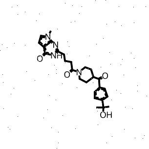 Cn1ccc2c(=O)[nH]c(CCCC(=O)N3CCC(C(=O)c4ccc(C(C)(C)O)cc4)CC3)nc21